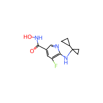 O=C(NO)c1cnc(NC2(C3CC3)CC2)c(F)c1